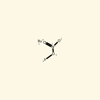 O=[N+]([O-])[O][Ir].[Ru]